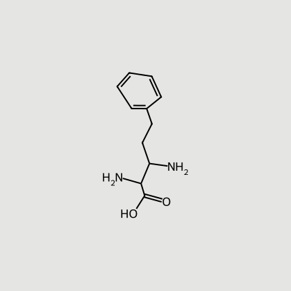 NC(CCc1ccccc1)C(N)C(=O)O